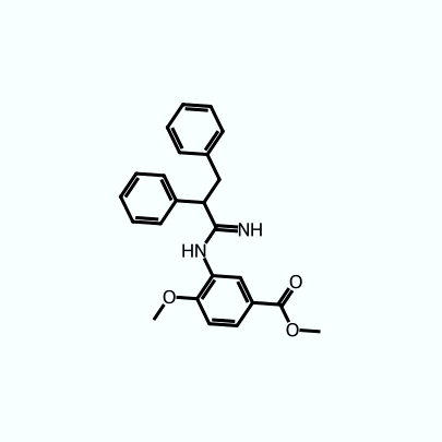 COC(=O)c1ccc(OC)c(NC(=N)C(Cc2ccccc2)c2ccccc2)c1